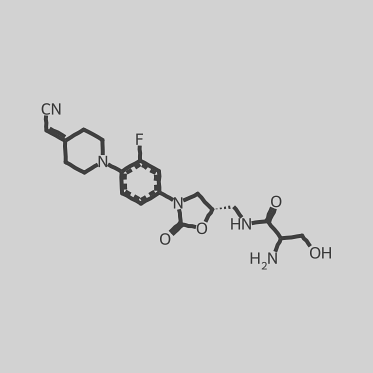 N#CC=C1CCN(c2ccc(N3C[C@H](CNC(=O)C(N)CO)OC3=O)cc2F)CC1